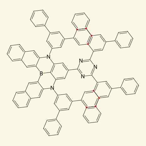 c1ccc(-c2cc(-c3ccccc3)cc(-c3nc(-c4cc(-c5ccccc5)cc(-c5ccccc5)c4)nc(-c4cc5c6c(c4)N(c4cc(-c7ccccc7)cc(-c7ccccc7)c4)c4cc7ccccc7cc4B6c4cc6ccccc6cc4N5c4cc(-c5ccccc5)cc(-c5ccccc5)c4)n3)c2)cc1